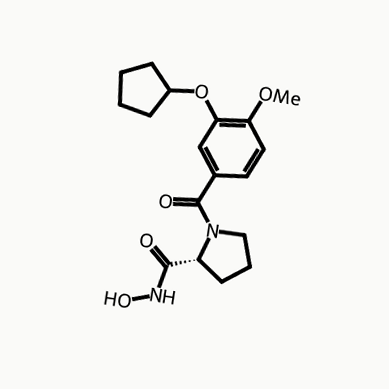 COc1ccc(C(=O)N2CCC[C@@H]2C(=O)NO)cc1OC1CCCC1